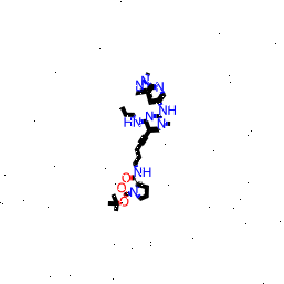 CCCNC1=NC(Nc2cnc3c(cnn3C)c2)N(C)C=C1C#CCCCNC(=O)[C@@H]1CCCN1C(=O)OC(C)(C)C